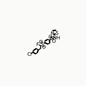 O=S(=O)(Nc1nccs1)c1ccc(S(=O)(=O)C(F)Cc2ccc(Cl)cc2)cc1